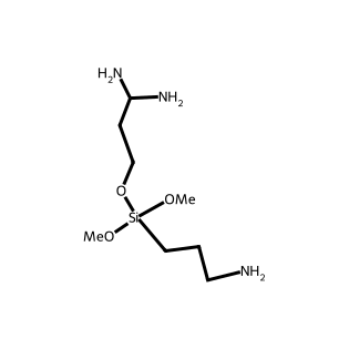 CO[Si](CCCN)(OC)OCCC(N)N